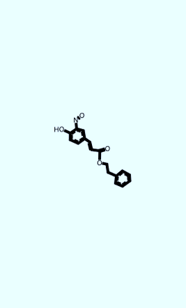 O=Nc1cc(/C=C/C(=O)OCCc2ccccc2)ccc1O